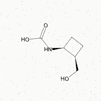 O=C(O)N[C@H]1CC[C@H]1CO